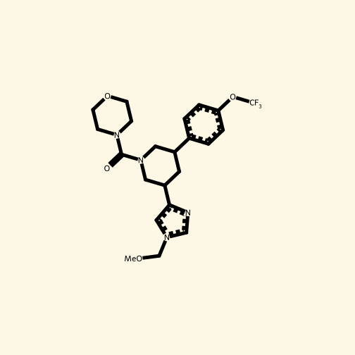 COCn1cnc(C2CC(c3ccc(OC(F)(F)F)cc3)CN(C(=O)N3CCOCC3)C2)c1